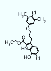 CCOC(=O)c1[nH]c2c(O)c(Cl)ccc2c1CCCOc1cc(C)c(Cl)c(C)c1